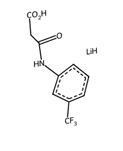 O=C(O)CC(=O)Nc1cccc(C(F)(F)F)c1.[LiH]